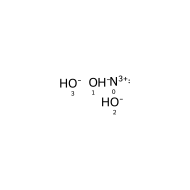 [N+3].[OH-].[OH-].[OH-]